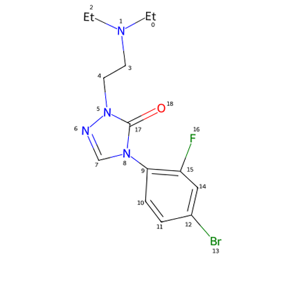 CCN(CC)CCn1ncn(-c2ccc(Br)cc2F)c1=O